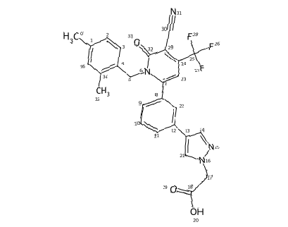 Cc1ccc(Cn2c(-c3cccc(-c4cnn(CC(=O)O)c4)c3)cc(C(F)(F)F)c(C#N)c2=O)c(C)c1